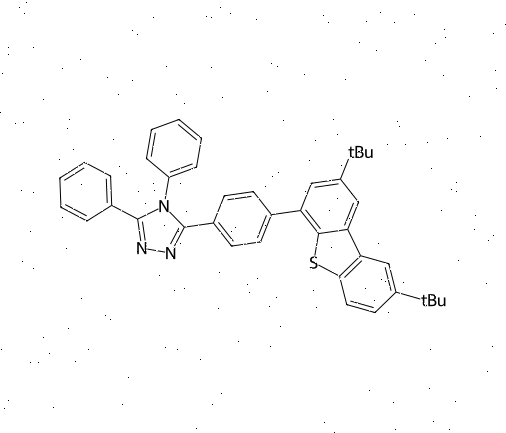 CC(C)(C)c1ccc2sc3c(-c4ccc(-c5nnc(-c6ccccc6)n5-c5ccccc5)cc4)cc(C(C)(C)C)cc3c2c1